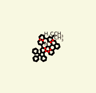 CC(C)(C)c1ccc(N(c2ccccc2-c2ccc3c(c2)C(c2ccccc2)(c2ccccc2)c2ccccc2-3)c2ccccc2-c2cccc3cccc(-c4ccccc4)c23)c(-c2ccccc2)c1